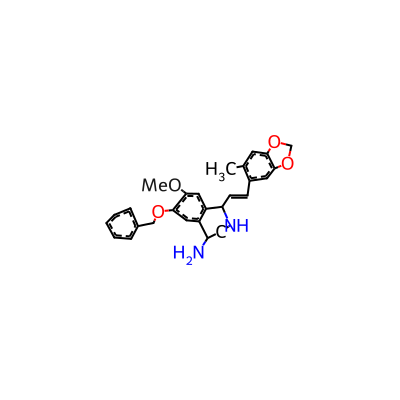 COc1cc2c(cc1OCc1ccccc1)C(N)CNC2/C=C/c1cc2c(cc1C)OCO2